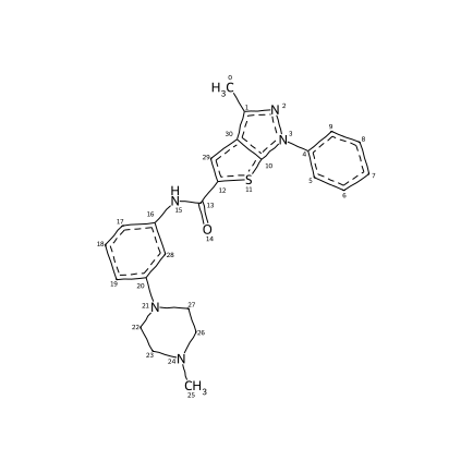 Cc1nn(-c2ccccc2)c2sc(C(=O)Nc3cccc(N4CCN(C)CC4)c3)cc12